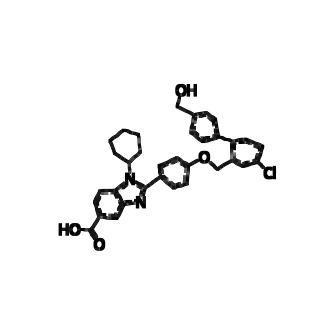 O=C(O)c1ccc2c(c1)nc(-c1ccc(OCc3cc(Cl)ccc3-c3ccc(CO)cc3)cc1)n2C1CCCCC1